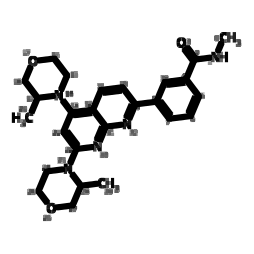 CNC(=O)c1cccc(-c2ccc3c(N4CCOCC4C)cc(N4CCOCC4C)nc3n2)c1